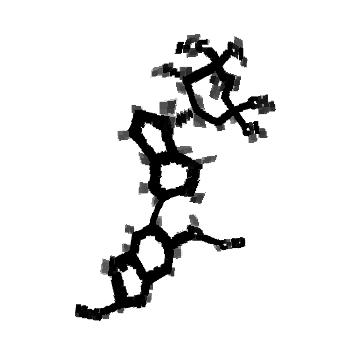 CSc1nc2cc(OC=O)c(-c3cc4ccn([C@H]5CC(C)(C)NC(C)(C)[C@H]5F)c4nn3)cc2s1